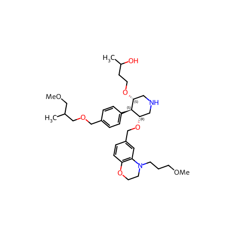 COCCCN1CCOc2ccc(CO[C@H]3CNC[C@@H](OCCC(C)O)[C@@H]3c3ccc(COCC(C)COC)cc3)cc21